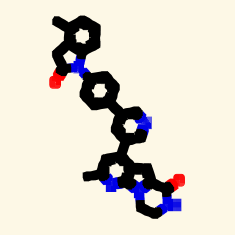 Cc1cc(-c2cncc(-c3ccc(N4C(=O)Cc5c(C)cccc54)cc3)c2)c2cc3n(c2n1)CCNC3=O